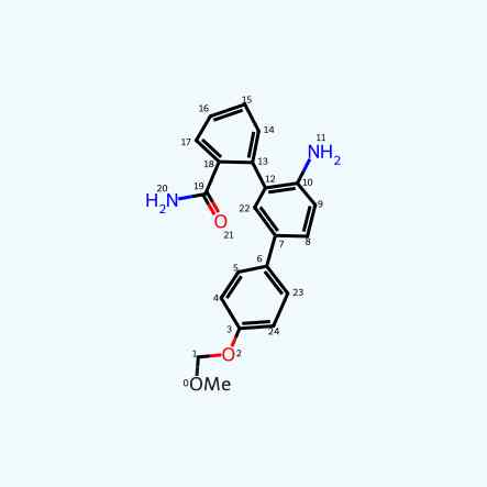 COCOc1ccc(-c2ccc(N)c(-c3ccccc3C(N)=O)c2)cc1